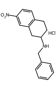 Cl.O=[N+]([O-])c1ccc2c(c1)CC(NCc1ccccc1)CC2